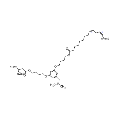 CCCCC/C=C\C/C=C\CCCCCCCC(=O)OCCCCOc1cc(CN(C)C)cc(OCCCCOC(=O)CC(CCCCCCCC)CCCCCCCC)c1